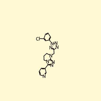 Clc1cccc(-n2nnc(CN3CCCn4c(-c5cccnc5)nnc43)n2)c1